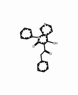 O=C(Cc1ccccc1)c1c(O)c2ccncc2n(-c2ccccc2)c1=O